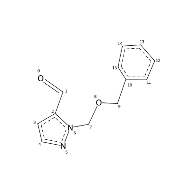 O=Cc1ccnn1COCc1ccccc1